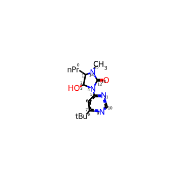 CCCC1C(O)N(c2cc(C(C)(C)C)ncn2)C(=O)N1C